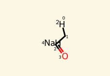 [2H]CC=O.[NaH]